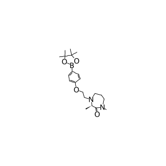 C[C@@H]1C(=O)N(C)CCCN1CCOc1ccc(B2OC(C)(C)C(C)(C)O2)cc1